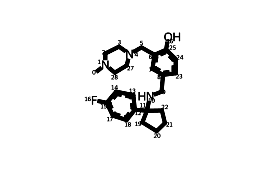 CN1CCN(Cc2cc(CNC3(c4ccc(F)cc4)CCCC3)ccc2O)CC1